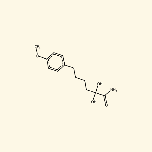 NC(=O)C(O)(O)CCCCc1ccc(OC(F)(F)F)cc1